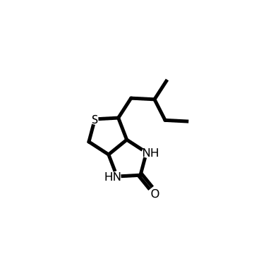 CCC(C)CC1SCC2NC(=O)NC21